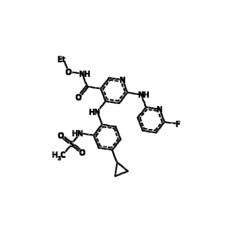 CCONC(=O)c1cnc(Nc2cccc(F)n2)cc1Nc1ccc(C2CC2)cc1NS(C)(=O)=O